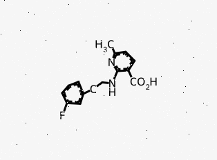 Cc1ccc(C(=O)O)c(NCCc2cccc(F)c2)n1